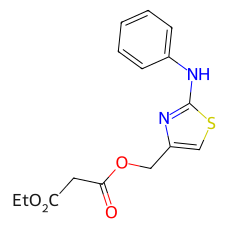 CCOC(=O)CC(=O)OCc1csc(Nc2ccccc2)n1